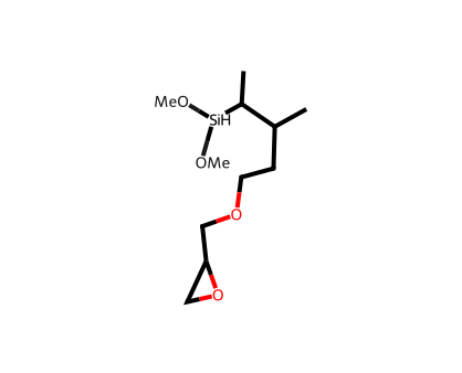 CO[SiH](OC)C(C)C(C)CCOCC1CO1